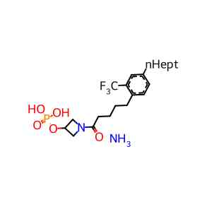 CCCCCCCc1ccc(CCCCC(=O)N2CC(OP(=O)(O)O)C2)c(C(F)(F)F)c1.N